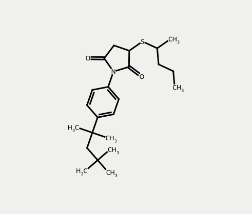 CCCC(C)SC1CC(=O)N(c2ccc(C(C)(C)CC(C)(C)C)cc2)C1=O